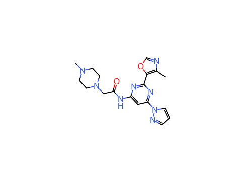 Cc1ncoc1-c1nc(NC(=O)CN2CCN(C)CC2)cc(-n2cccn2)n1